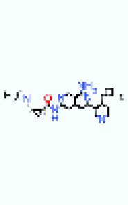 C=NC[C@H]1C[C@@H]1C(=O)Nc1cc2cc(-c3cnccc3CC)nc(N)c2cn1